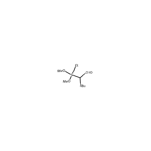 CCCCC(C=O)[Si](CC)(OC)OC